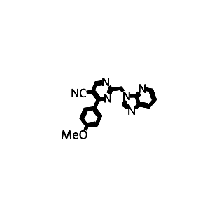 COc1ccc(-c2nc(Cn3cnc4cccnc43)ncc2C#N)cc1